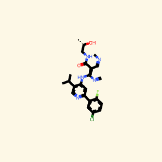 C=N/C(Nc1cc(-c2cc(Cl)ccc2F)ncc1C(C)C)=C(\C=N/C)C(=O)NC[C@H](C)O